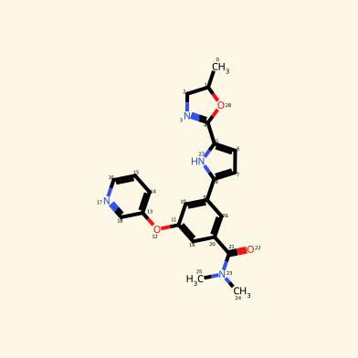 CC1CN=C(c2ccc(-c3cc(Oc4cccnc4)cc(C(=O)N(C)C)c3)[nH]2)O1